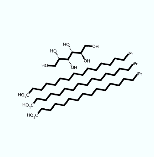 CC(C)CCCCCCCCCCCCCCC(=O)O.CC(C)CCCCCCCCCCCCCCC(=O)O.CC(C)CCCCCCCCCCCCCCC(=O)O.OC[C@@H](O)[C@@H](O)[C@H](O)[C@@H](O)CO